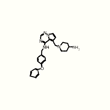 NC1CCN(Cc2ccn3ncnc(NCc4ccc(Oc5ccccc5)cc4)c23)CC1